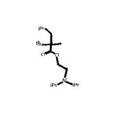 CC(C)CC(C)(C(=O)OCCN(C(C)C)C(C)C)C(C)(C)C